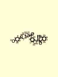 COc1ccc(N2CCC3(CCN(C(=O)c4ccc5c(c4)[C@H](NC(=O)c4ccccc4Cl)CC5)C3)CC2)cc1